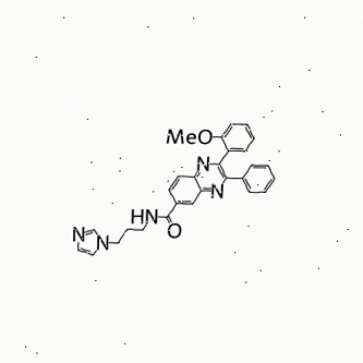 COc1ccccc1-c1nc2ccc(C(=O)NCCCn3ccnc3)cc2nc1-c1ccccc1